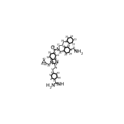 N=C(N)c1ccc(CCc2nc3cc(C(=O)N(CCCc4ccccc4)Cc4ccc(CN)cc4)ccc3n2CC2CC2)cc1